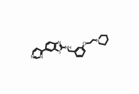 c1cc(CNc2nc3ccc(-c4ccncn4)cc3s2)cc(OCCN2CCCCC2)c1